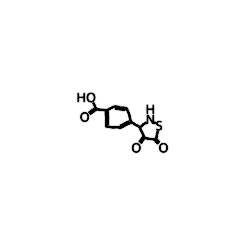 O=C1SNC(c2ccc(C(=O)O)cc2)C1=O